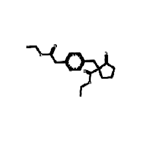 CCOC(=O)Cc1ccc(CC2(C(=O)OCC)CCCC2=O)cc1